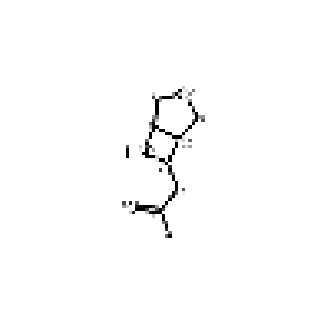 CC(=O)CC1NC2COCC21